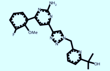 COc1c(F)cccc1-c1cc(-c2cn(Cc3cccc(C(C)(C)O)n3)nn2)nc(N)n1